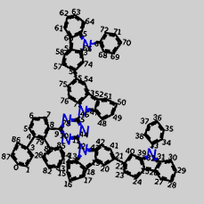 c1ccc(-c2cccc(-c3nc(-n4c5ccccc5c5cc(-c6ccc7c8ccccc8n(-c8ccccc8)c7c6)ccc54)nc(-n4c5ccccc5c5cc(-c6ccc7c8ccccc8n(-c8ccccc8)c7c6)ccc54)n3)c2-c2ccccc2)cc1